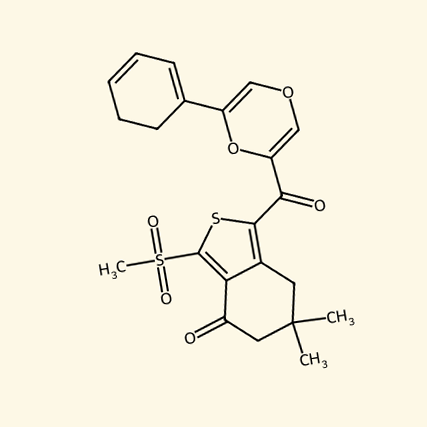 CC1(C)CC(=O)c2c(S(C)(=O)=O)sc(C(=O)C3=COC=C(C4=CC=CCC4)O3)c2C1